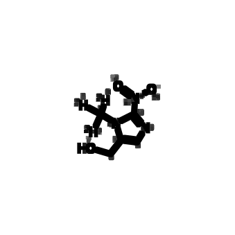 [2H]C([2H])([2H])n1c(CO)cnc1[N+](=O)[O-]